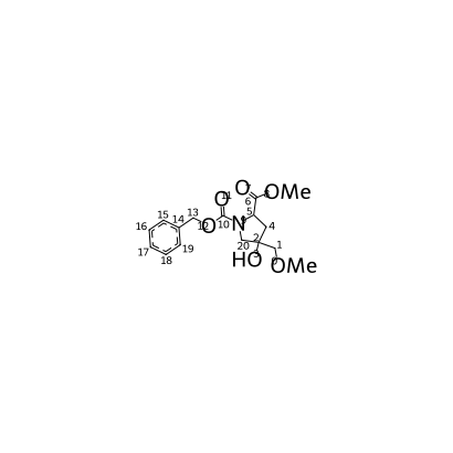 COCC1(O)CC(C(=O)OC)N(C(=O)OCc2ccccc2)C1